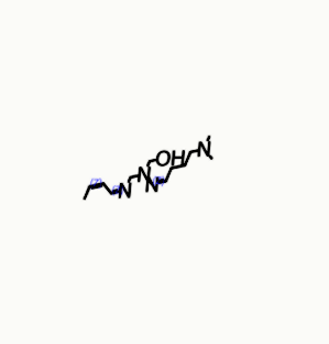 C/C=C\C=N/CN(CO)/N=C\CCCN(C)C